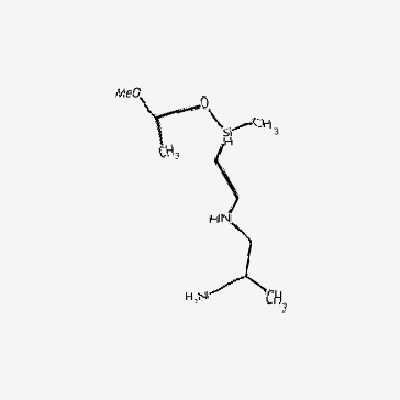 COC(C)O[SiH](C)CCNCC(C)N